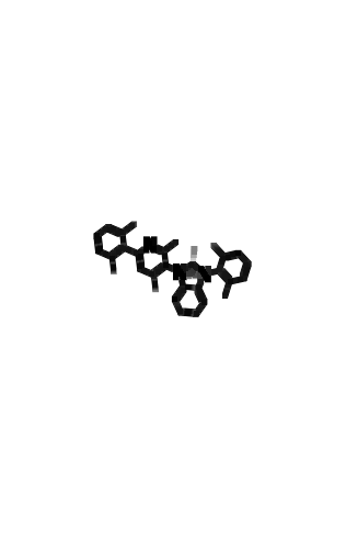 Cc1cccc(C)c1-c1cc(C)c(N2c3ccccc3N(c3c(C)cccc3C)[C@H]2C)c(C)n1